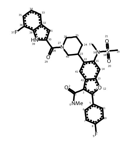 CNC(=O)c1c(-c2ccc(F)cc2)oc2cc(N(C)S(C)(=O)=O)c(C3CCCN(C(=O)c4cc5cccc(F)c5[nH]4)C3)cc12